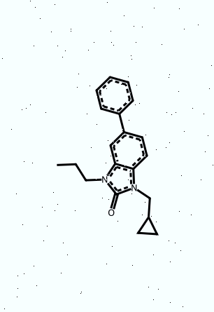 CCCn1c(=O)n(CC2CC2)c2ccc(-c3ccccc3)cc21